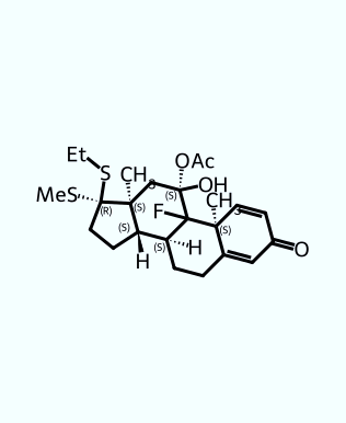 CCS[C@]1(SC)CC[C@H]2[C@@H]3CCC4=CC(=O)C=C[C@]4(C)C3(F)[C@@](O)(OC(C)=O)C[C@@]21C